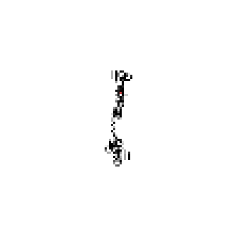 Cn1c(=O)n(C2CCC(=O)NC2=O)c2cccc(C#CCCCCCc3cn(Cc4cccc(N5C[C@H]6C[C@@H]5CN6/C=C/C(=O)c5ccccc5O)n4)nn3)c21